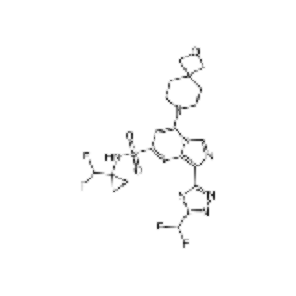 O=S(=O)(NC1(C(F)F)CC1)c1cc(N2CCC3(CC2)COC3)n2cnc(-c3nnc(C(F)F)s3)c2c1